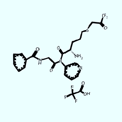 N[C@@H](CCCSCC(=O)C(F)(F)F)C(=O)N(C(=O)CNC(=O)c1ccccc1)c1cccnc1.O=C(O)C(F)(F)F